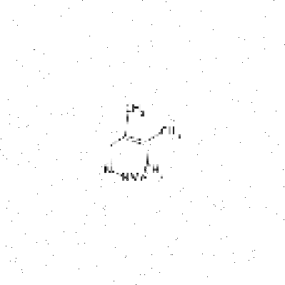 CN/N=C\C(C)=C(C)C